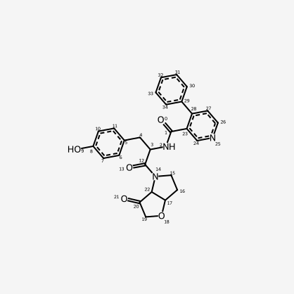 O=C(NC(Cc1ccc(O)cc1)C(=O)N1CCC2OCC(=O)C21)c1cnccc1-c1ccccc1